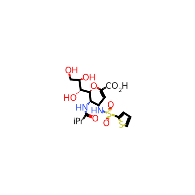 CC(C)C(=O)N[C@H]1[C@H]([C@H](O)[C@H](O)CO)OC(C(=O)O)=C[C@@H]1NS(=O)(=O)c1cccs1